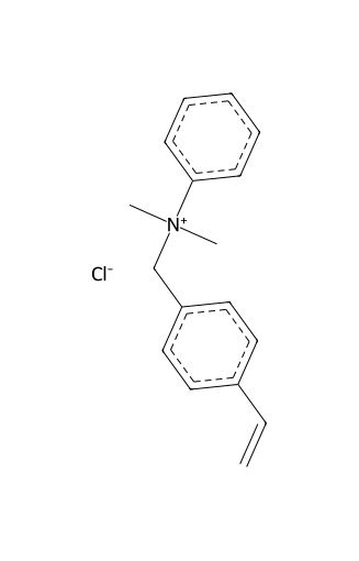 C=Cc1ccc(C[N+](C)(C)c2ccccc2)cc1.[Cl-]